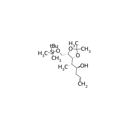 C=CC[C@H](O)[C@H](C)[C@H]1OC(C)(C)O[C@H]1CO[Si](C)(C)C(C)(C)C